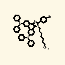 CCCCCCCCn1c(-c2ccc(Br)cc2)nc2c3ccc(N(c4ccccc4)c4ccccc4)cc3c3cc(N(c4ccccc4)c4ccccc4)ccc3c21